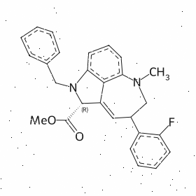 COC(=O)[C@H]1C2=CC(c3ccccc3F)CN(C)c3cccc(c32)N1Cc1ccccc1